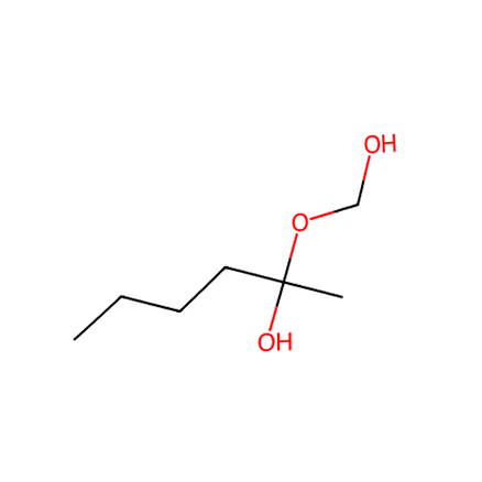 CCCCC(C)(O)OCO